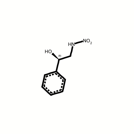 O=[N+]([O-])NC[C@H](O)c1ccccc1